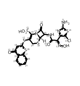 Nc1nc(/C(=N\O)C(=O)NC2C(=O)N3C(C(=O)O)=C(Sc4cc(=O)c5ccccc5s4)CS[C@H]23)c(Cl)s1